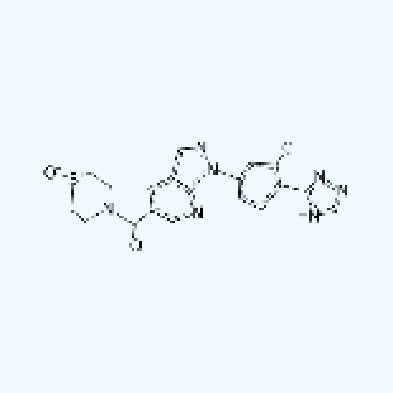 O=C(c1cnc2c(cnn2-c2ccc(-c3nnc[nH]3)c(Cl)c2)c1)N1CC[S+]([O-])CC1